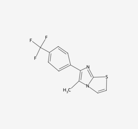 Cc1c(-c2ccc(C(F)(F)F)cc2)nc2sccn12